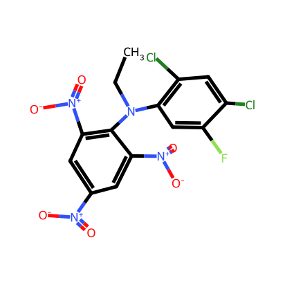 CCN(c1cc(F)c(Cl)cc1Cl)c1c([N+](=O)[O-])cc([N+](=O)[O-])cc1[N+](=O)[O-]